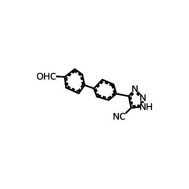 N#Cc1[nH]nnc1-c1ccc(-c2ccc(C=O)cc2)cc1